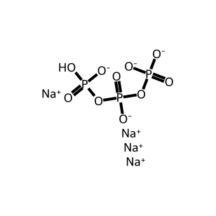 O=P([O-])([O-])OP(=O)([O-])OP(=O)([O-])O.[Na+].[Na+].[Na+].[Na+]